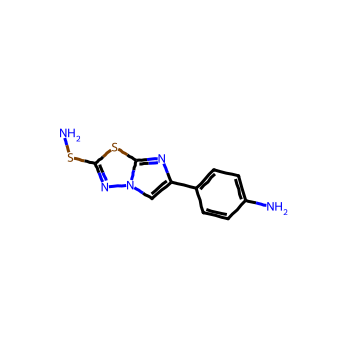 NSc1nn2cc(-c3ccc(N)cc3)nc2s1